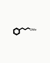 [C]OCCCc1ccccc1